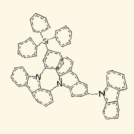 c1ccc([Si](c2ccccc2)(c2ccccc2)c2cccc(-n3c4ccccc4c4cccc(-n5c6ccccc6c6cc(-n7c8ccccc8c8ccccc87)ccc65)c43)c2)cc1